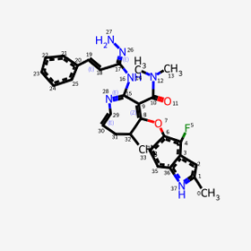 Cc1cc2c(F)c(O/C3=C(C(=O)N(C)C)/C(NC(/C=C/c4ccccc4)=N/N)=N\C=C\CC3C)ccc2[nH]1